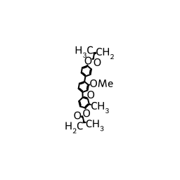 C=C(C)C(=O)Oc1ccc(-c2ccc3c(oc4c(C)c(OC(=O)C(=C)C)ccc43)c2OC)cc1